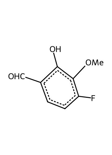 COc1c(F)ccc(C=O)c1O